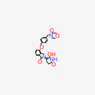 O=C1CC[C@H](N2Cc3c(OCc4ccc(CN5CCOCC5=O)cc4)cccc3C2=O)C(O)N1